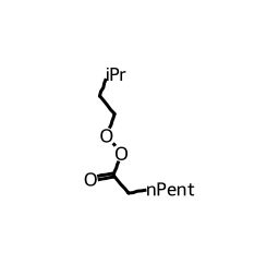 CCCCCCC(=O)OOCCC(C)C